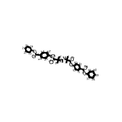 CC(C)(N=NC(C)(C)C(=O)Oc1ccc(C(=O)Oc2ccccc2)cc1)C(=O)Oc1ccc(C(=O)Oc2ccccc2)cc1